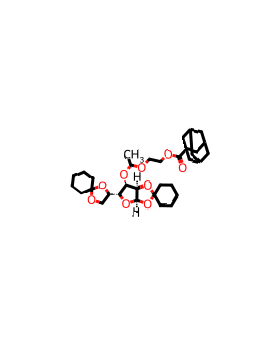 CC(OCCOC(=O)C12CC3CC(CC(C3)C1)C2)O[C@@H]1[C@H]2OC3(CCCCC3)O[C@H]2O[C@@H]1C1COC2(CCCCC2)O1